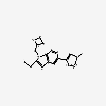 CN1C=C(c2ccc3c(c2)nc(CCl)n3C[C@@H]2CCO2)NN1